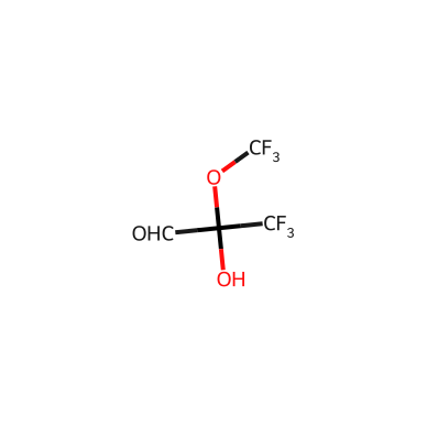 O=CC(O)(OC(F)(F)F)C(F)(F)F